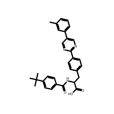 Cc1cccc(-c2cnc(-c3ccc(CC(NC(=O)c4ccc(C(C)(C)C)cc4)C(=O)O)cc3)nc2)c1